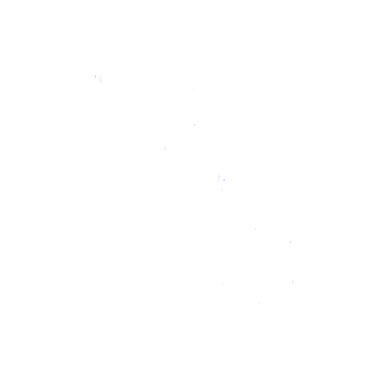 Nc1ccc2c(c1)CCN(Cc1ccccc1)C2